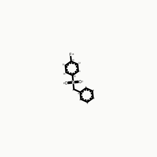 O=S(=O)(Cc1cc[c]cc1)c1ccc(F)cc1